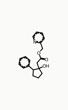 O=C(CC1(O)CCCC1c1ccccc1)OCc1ccccn1